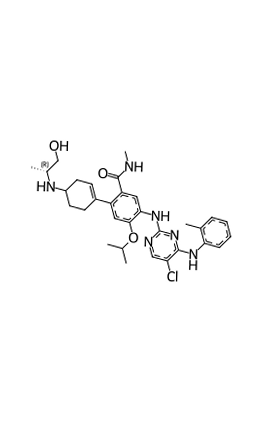 CNC(=O)c1cc(Nc2ncc(Cl)c(Nc3ccccc3C)n2)c(OC(C)C)cc1C1=CCC(N[C@H](C)CO)CC1